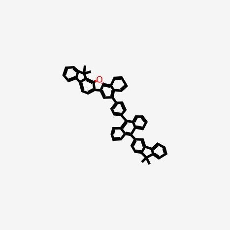 CC1(C)c2ccccc2-c2cc(-c3c4ccccc4c(-c4ccc(-c5cc6c7ccc8c(c7oc6c6ccccc56)C(C)(C)c5ccccc5-8)cc4)c4ccccc34)ccc21